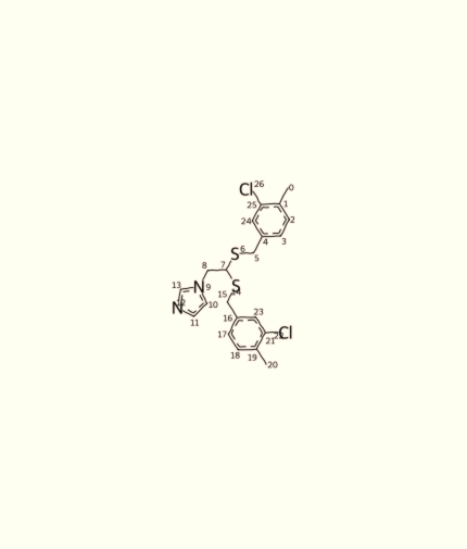 Cc1ccc(CSC(Cn2ccnc2)SCc2ccc(C)c(Cl)c2)cc1Cl